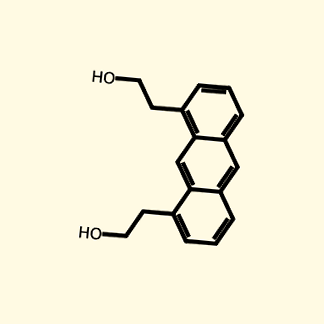 OCCc1cccc2cc3cccc(CCO)c3cc12